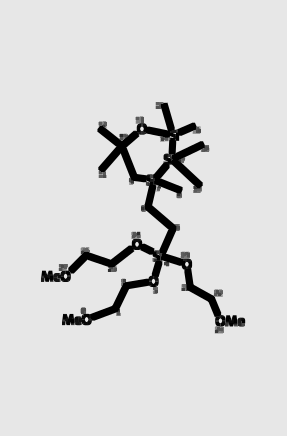 COCCO[Si](CC[Si]1(C)CC(C)(C)O[Si](C)(C)[Si]1(C)C)(OCCOC)OCCOC